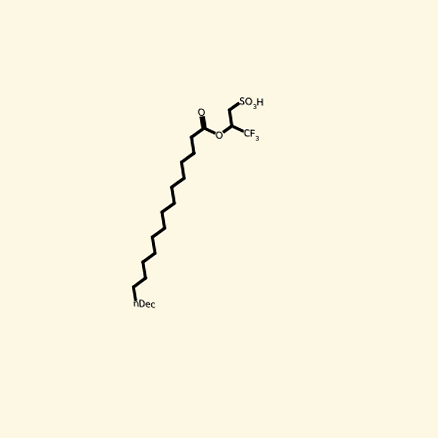 CCCCCCCCCCCCCCCCCCCCCCCC(=O)OC(CS(=O)(=O)O)C(F)(F)F